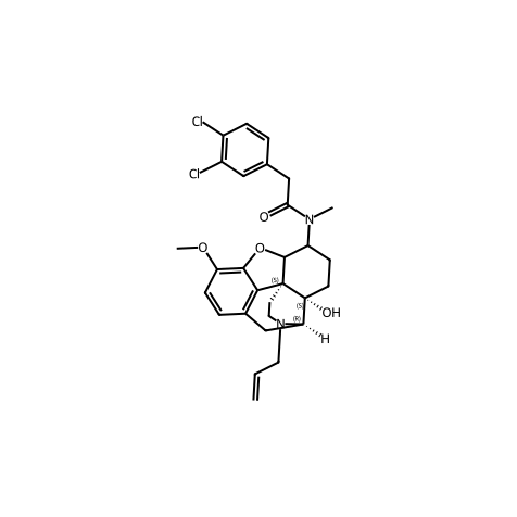 C=CCN1CC[C@]23c4c5ccc(OC)c4OC2C(N(C)C(=O)Cc2ccc(Cl)c(Cl)c2)CC[C@@]3(O)[C@H]1C5